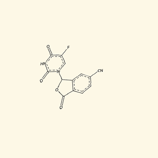 N#Cc1ccc2c(c1)C(n1cc(F)c(=O)[nH]c1=O)OC2=O